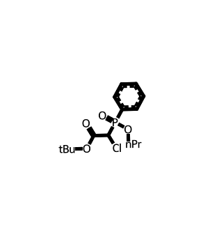 CCCOP(=O)(c1ccccc1)C(Cl)C(=O)OC(C)(C)C